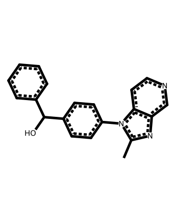 Cc1nc2cnccc2n1-c1ccc(C(O)c2ccccc2)cc1